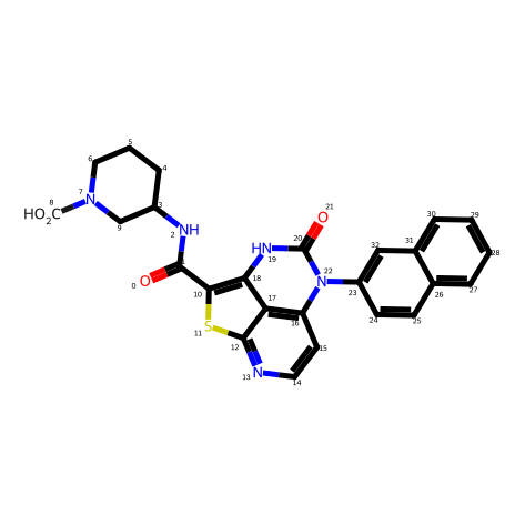 O=C(NC1CCCN(C(=O)O)C1)c1sc2nccc3c2c1NC(=O)N3c1ccc2ccccc2c1